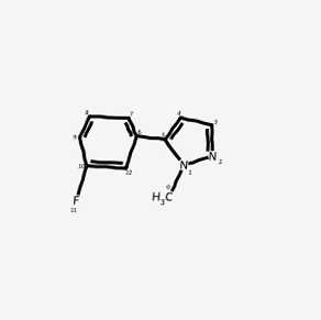 Cn1nccc1-c1cccc(F)c1